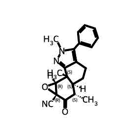 C[C@@H]1C(=O)[C@]2(C#N)O[C@@H]2[C@]2(C)c3nn(C)c(-c4ccccc4)c3CC[C@@H]12